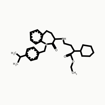 CCOC(=O)C(CCNC1CCc2ccccc2N(Cc2ccc(C(C)C)cc2)C1=O)C1CCCCC1